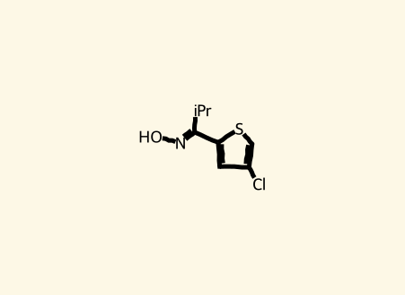 CC(C)C(=NO)c1cc(Cl)cs1